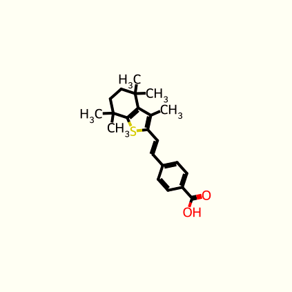 Cc1c(/C=C/c2ccc(C(=O)O)cc2)sc2c1C(C)(C)CCC2(C)C